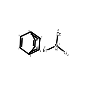 CC[SiH](Cl)CC.c1cc2ccc1cc2